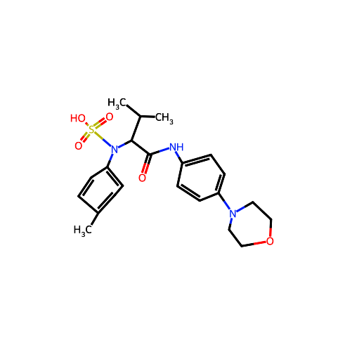 Cc1ccc(N(C(C(=O)Nc2ccc(N3CCOCC3)cc2)C(C)C)S(=O)(=O)O)cc1